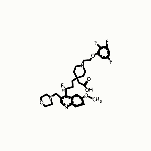 COc1ccc2ncc(CN3CCOCC3)c([C@H](F)CCC3(CC(=O)O)CCN(CCOc4cc(F)cc(F)c4F)CC3)c2c1